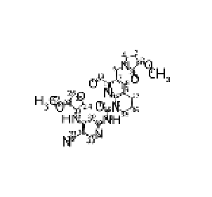 CO[C@H]1CCN(Cc2cc3c(nc2C=O)N(C(=O)Nc2cc(NC4COC[C@H]4OC)c(C#N)cn2)CCC3)C1=O